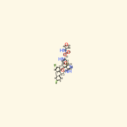 O=C(CC(c1ccc(F)cc1)c1ccc(F)cc1)Nc1cncc(F)c1CC[C@@H]1CN[C@H](COC(=O)NC2CCOC2)CO1